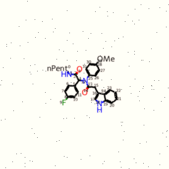 CCCCCNC(=O)C(c1ccc(F)cc1)N(C(=O)Cc1c[nH]c2ccccc12)c1ccc(OC)cc1